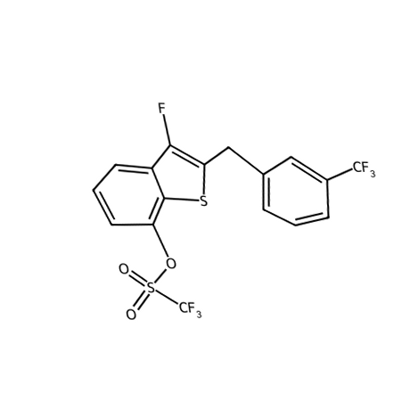 O=S(=O)(Oc1cccc2c(F)c(Cc3cccc(C(F)(F)F)c3)sc12)C(F)(F)F